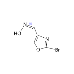 O/N=C\c1coc(Br)n1